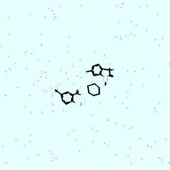 O=C(N[C@H]1CC[C@H](CN2C(=O)C(F)(F)c3ccc(Cl)cc32)CC1)c1cc(C(F)(F)F)ccc1Cl